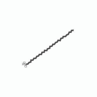 Cl[SiH](Cl)CCCCCCCCCCCCCCCCCCCCCCCCCCCCCCCCCCI